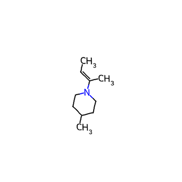 CC=C(C)N1CCC(C)CC1